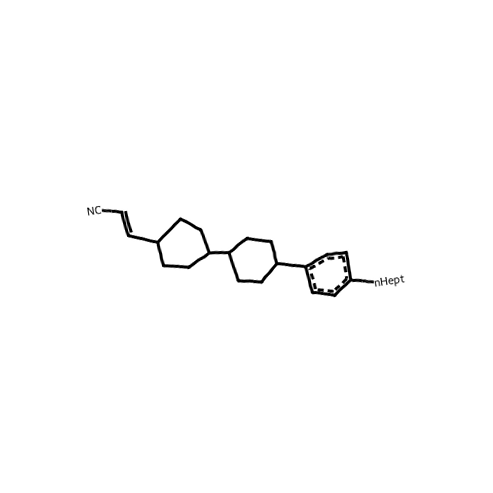 CCCCCCCc1ccc(C2CCC(C3CCC(C=CC#N)CC3)CC2)cc1